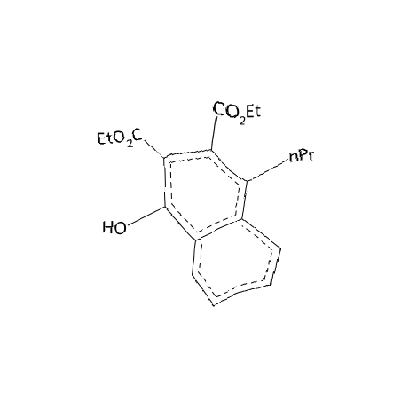 CCCc1c(C(=O)OCC)c(C(=O)OCC)c(O)c2ccccc12